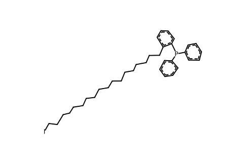 ICCCCCCCCCCCCCCCCCCc1ccccc1P(c1ccccc1)c1ccccc1